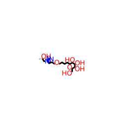 C[C@H](O)Cn1cc(COCCCCC2OC(CO)C(O)C(O)C2O)nn1